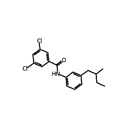 CCC(C)Cc1cccc(NC(=O)c2cc(Cl)cc(Cl)c2)c1